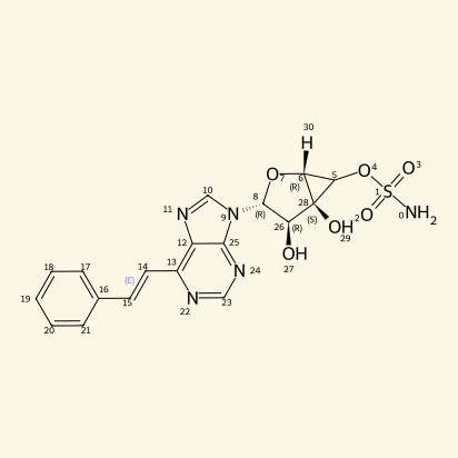 NS(=O)(=O)OC1[C@H]2O[C@@H](n3cnc4c(/C=C/c5ccccc5)ncnc43)[C@H](O)[C@@]12O